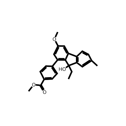 CCC1(O)c2cc(C)ccc2-c2cc(OC)cc(-c3ccc(C(=O)OC)cc3)c21